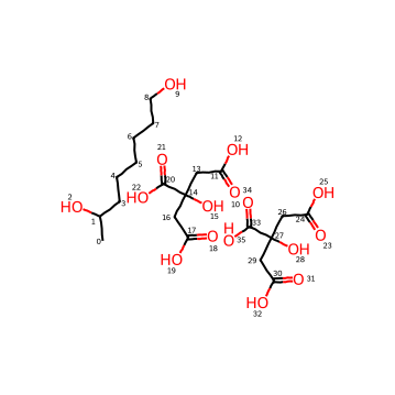 CC(O)CCCCCCO.O=C(O)CC(O)(CC(=O)O)C(=O)O.O=C(O)CC(O)(CC(=O)O)C(=O)O